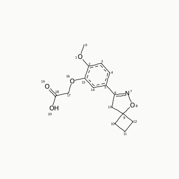 COc1ccc(C2=NOC3(CCC3)C2)cc1OCC(=O)O